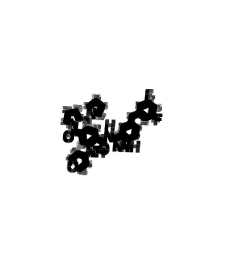 O=C(Nc1n[nH]c2ccc(Cc3cc(F)cc(F)c3)cc12)c1ccc(C(=O)N2CCC[C@@H]2CN2CCCC2)cc1NC1CCOCC1